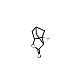 O=C1OC2CC3CC1[C@@H]2C3